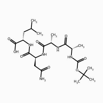 CC(C)C[C@H](NC(=O)[C@H](CC(N)=O)NC(=O)[C@H](C)NC(=O)[C@H](C)NC(=O)OC(C)(C)C)C(=O)O